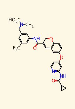 CN(Cc1cc(NC(=O)C2=Cc3cc(Oc4ccnc(NC(=O)C5CC5)c4)ccc3OC2)cc(C(F)(F)F)c1)C(=O)O